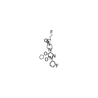 O=c1c(OC2CCCC2)c(N2CCN([S@+]([O-])CCCF)CC2)cnn1-c1cccc(F)c1